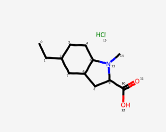 CCC1CCC2C(C1)CC(C(=O)O)N2C.Cl